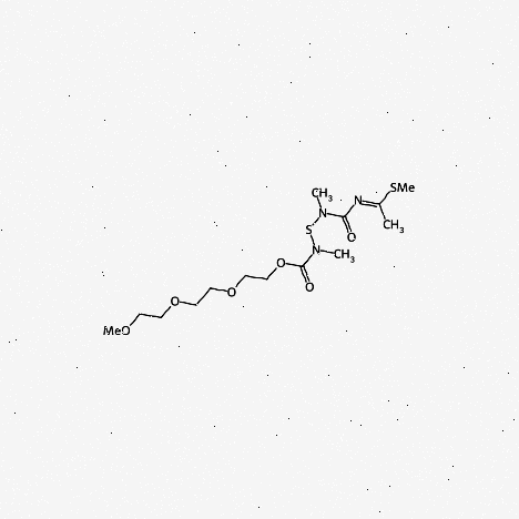 COCCOCCOCCOC(=O)N(C)SN(C)C(=O)N=C(C)SC